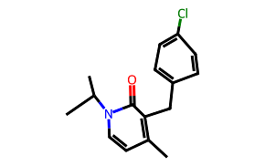 Cc1ccn(C(C)C)c(=O)c1Cc1ccc(Cl)cc1